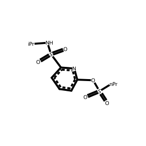 CCCS(=O)(=O)Oc1cccc(S(=O)(=O)NC(C)C)n1